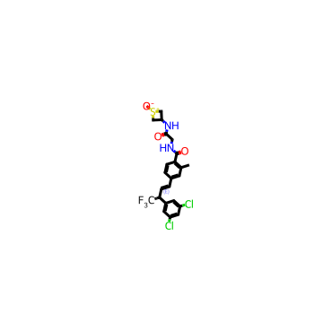 Cc1cc(/C=C/C(c2cc(Cl)cc(Cl)c2)C(F)(F)F)ccc1C(=O)NCC(=O)NC1C[S+]([O-])C1